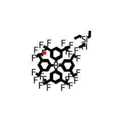 CC[SiH](CC)CC.FC(F)(F)c1cc([B-](c2cc(C(F)(F)F)cc(C(F)(F)F)c2)(c2cc(C(F)(F)F)cc(C(F)(F)F)c2)c2cc(C(F)(F)F)cc(C(F)(F)F)c2)cc(C(F)(F)F)c1